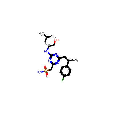 CC(C)C[C@H](CO)Nc1nc(C[C@@H](C)c2ccc(F)cc2)nc(CS(N)(=O)=O)n1